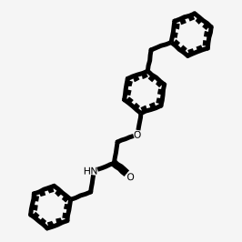 O=C(COc1ccc(Cc2ccccc2)cc1)NCc1ccccc1